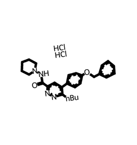 CCCCc1nnc(C(=O)NN2CCCCC2)cc1-c1ccc(OCc2ccccc2)cc1.Cl.Cl